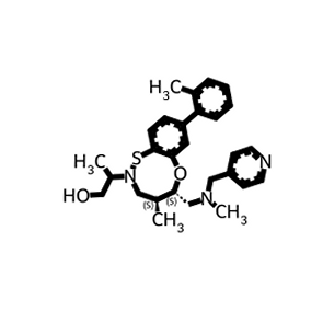 Cc1ccccc1-c1ccc2c(c1)O[C@H](CN(C)Cc1ccncc1)[C@@H](C)CN(C(C)CO)S2